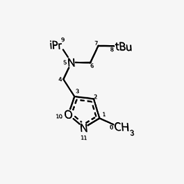 Cc1cc(CN(CCC(C)(C)C)C(C)C)on1